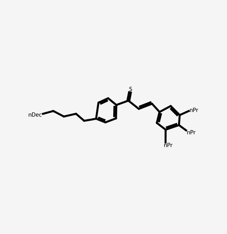 CCCCCCCCCCCCCCc1ccc(C(=S)C=Cc2cc(CCC)c(CCC)c(CCC)c2)cc1